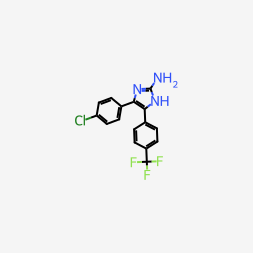 Nc1nc(-c2ccc(Cl)cc2)c(-c2ccc(C(F)(F)F)cc2)[nH]1